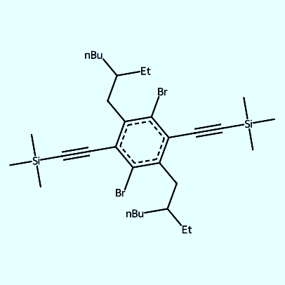 CCCCC(CC)Cc1c(Br)c(C#C[Si](C)(C)C)c(CC(CC)CCCC)c(Br)c1C#C[Si](C)(C)C